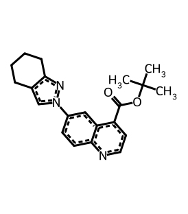 CC(C)(C)OC(=O)c1ccnc2ccc(-n3cc4c(n3)CCCC4)cc12